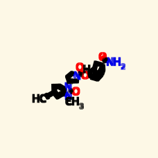 C#Cc1ccc2c(c1)n(C)c(=O)n2[C@H]1CCN(C(=O)O[C@H]2C3CC4CC2C[C@](C(N)=O)(C4)C3)C1